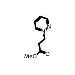 COC(=O)CC[n+]1ccccn1